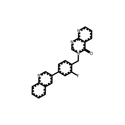 O=c1c2cccnc2ncn1Cc1ccc(-c2cnc3ccccc3c2)cc1F